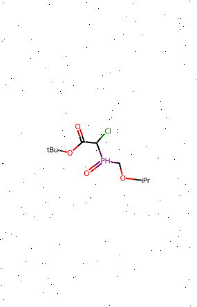 CC(C)OC[PH](=O)C(Cl)C(=O)OC(C)(C)C